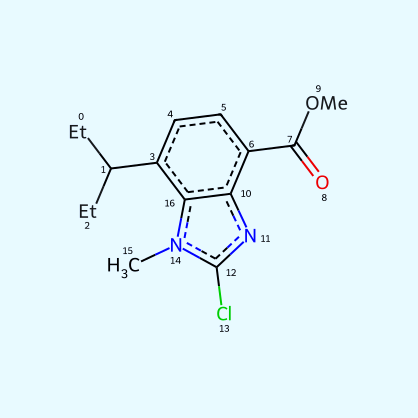 CCC(CC)c1ccc(C(=O)OC)c2nc(Cl)n(C)c12